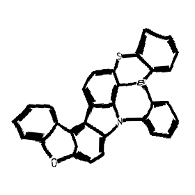 c1ccc2c(c1)Sc1ccc3c4c5c(ccc4n4c3c1B2c1ccccc1-4)oc1ccccc15